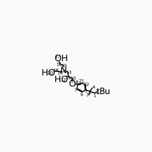 CC(C)(C)CC(C)(C)c1ccc(OCC(O)CN(CCO)CCO)cc1